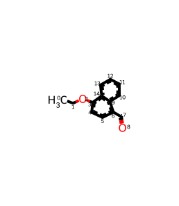 CCOc1ccc([C]=O)c2ccccc12